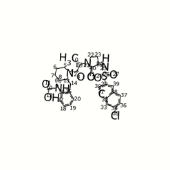 C[C@@H](C(=O)N1CCC[C@@H](NC(=O)O)C1Cc1ccccc1)N1CC[C@H](NS(=O)(=O)c2ccc3cc(Cl)ccc3c2)C1=O